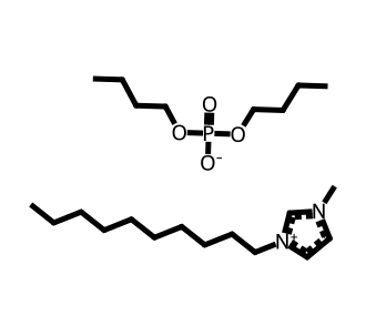 CCCCCCCCCC[n+]1ccn(C)c1.CCCCOP(=O)([O-])OCCCC